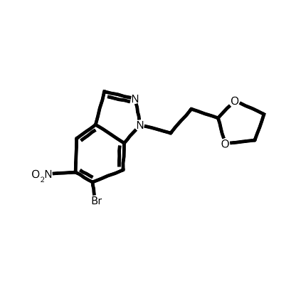 O=[N+]([O-])c1cc2cnn(CCC3OCCO3)c2cc1Br